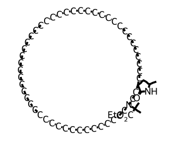 CCOC(=O)C(C)(C)N1CCCCCCCCCCCCCCCCCCCCCCCCCCCCCCCCCCCCCCCCCCCCCCCCC2(CC1)CC(C)NC2=O